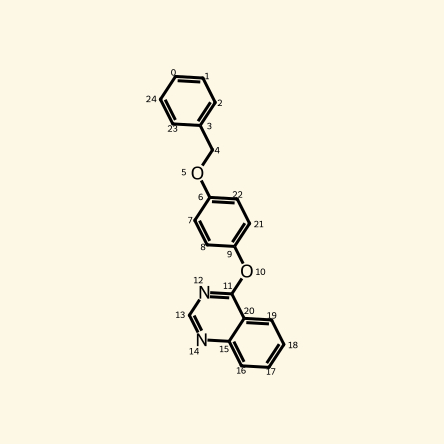 c1ccc(COc2ccc(Oc3ncnc4ccccc34)cc2)cc1